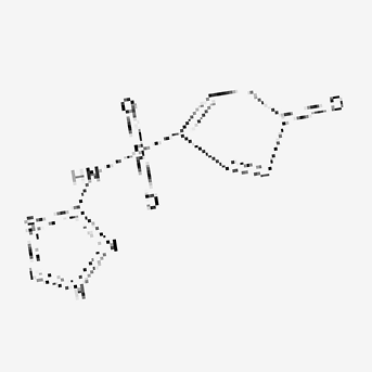 O=C1C=CC(S(=O)(=O)Nc2nncs2)=CC1